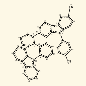 N#Cc1ccc(-n2c3ccc(C#N)cc3c3ccc(-c4ccccc4-c4ccccc4-n4c5ccccc5c5ccccc54)cc32)cc1